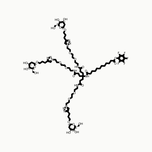 O=C(CCC(CCC(=O)NCCOCCOCCn1cc(CCCO[C@H]2C[C@@H](O)[C@@H](O)[C@@H](CO)O2)nn1)(CCC(=O)NCCOCCOCCn1cc(CCCO[C@H]2C[C@@H](O)[C@@H](O)[C@@H](CO)O2)nn1)NC(=O)CCCCCCCCCCC(=O)Oc1c(F)c(F)c(F)c(F)c1F)NCCOCCOCCn1cc(CCCO[C@H]2C[C@@H](O)[C@@H](O)[C@@H](CO)O2)nn1